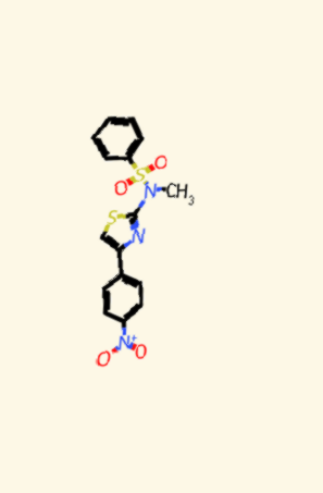 CN(c1nc(-c2ccc([N+](=O)[O-])cc2)cs1)S(=O)(=O)c1ccccc1